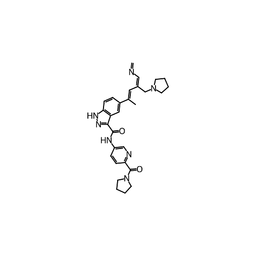 C=N/C=C(\C=C(/C)c1ccc2[nH]nc(C(=O)Nc3ccc(C(=O)N4CCCC4)nc3)c2c1)CN1CCCC1